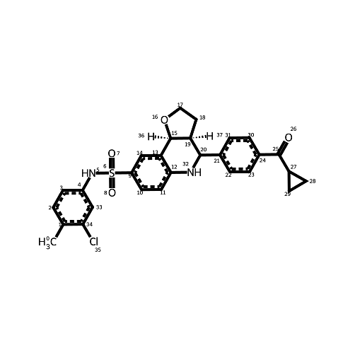 Cc1ccc(NS(=O)(=O)c2ccc3c(c2)[C@H]2OCC[C@H]2C(c2ccc(C(=O)C4CC4)cc2)N3)cc1Cl